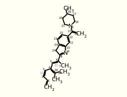 C=C/C=C\C(/C=C(\C)C1=Nc2cc(C(=C)N3CCC(C)CC3)ccc2C1)=C(C)C